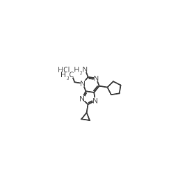 CCn1c(N)nc(C2CCCC2)c2nc(C3CC3)nc1-2.Cl